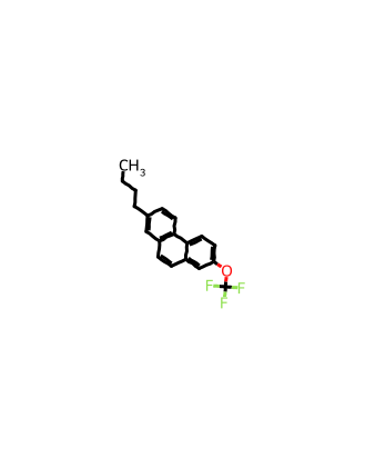 CCCCc1ccc2c(ccc3cc(OC(F)(F)F)ccc32)c1